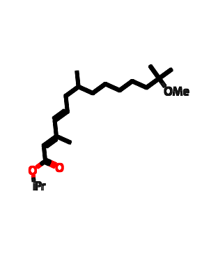 COC(C)(C)CCCCCC(C)C/C=C/C(C)=C/C(=O)OC(C)C